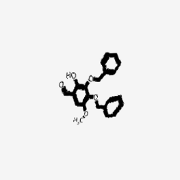 COc1cc(C=O)c(O)c(OCc2ccccc2)c1OCc1ccccc1